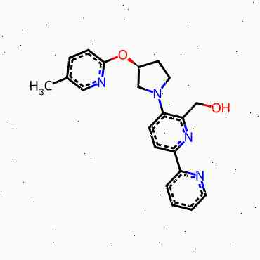 Cc1ccc(O[C@H]2CCN(c3ccc(-c4ccccn4)nc3CO)C2)nc1